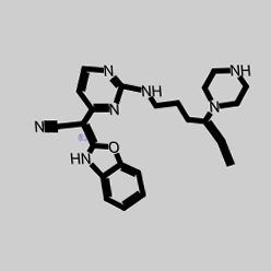 C=C=C(CCCNc1nccc(/C(C#N)=C2/Nc3ccccc3O2)n1)N1CCNCC1